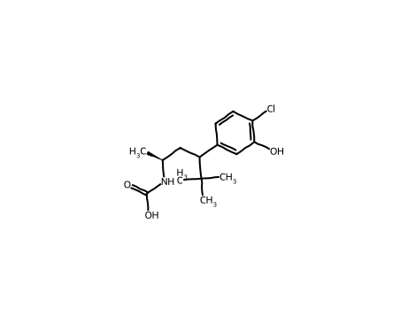 C[C@@H](CC(c1ccc(Cl)c(O)c1)C(C)(C)C)NC(=O)O